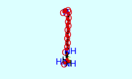 O=C(CCCC[C@@H]1SC[C@@H]2NC(=O)N[C@@H]21)NCCOCCOCCOCCOCCOCCOCCOCCOCCC(=O)ON1C(=O)CCC1=O